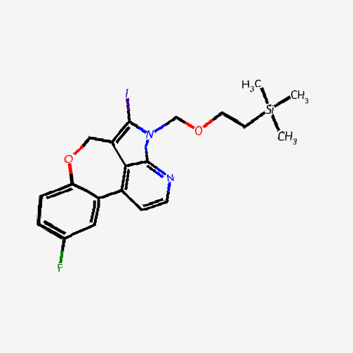 C[Si](C)(C)CCOCn1c(I)c2c3c(ccnc31)-c1cc(F)ccc1OC2